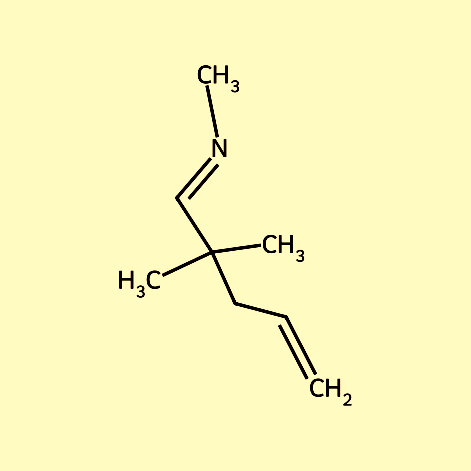 C=CCC(C)(C)/C=N/C